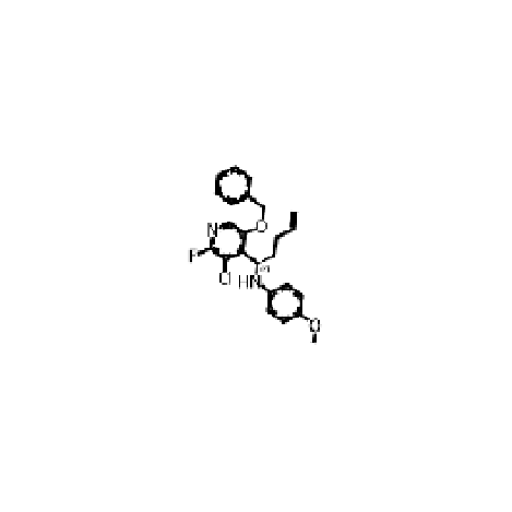 C=CCC[C@@H](Nc1ccc(OC)cc1)c1c(OCc2ccccc2)cnc(F)c1Cl